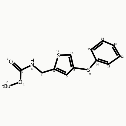 CC(C)(C)OC(=O)NCc1cc(Sc2ccccc2)cs1